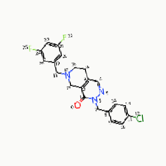 O=c1c2c(cnn1Cc1ccc(Cl)cc1)CCN(Cc1cc(F)cc(F)c1)C2